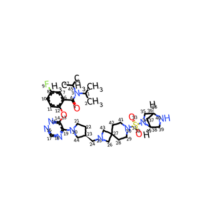 CC(C)N(C(=O)c1cc(F)ccc1Oc1nncnc1N1CC[C@@H](CN2CC3(CCN(S(=O)(=O)N4C[C@@H]5C[C@H]4CN5)CC3)C2)C1)C(C)C